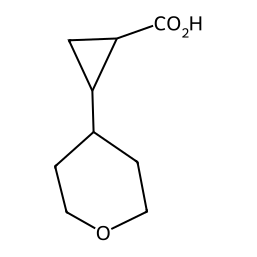 O=C(O)C1CC1C1CCOCC1